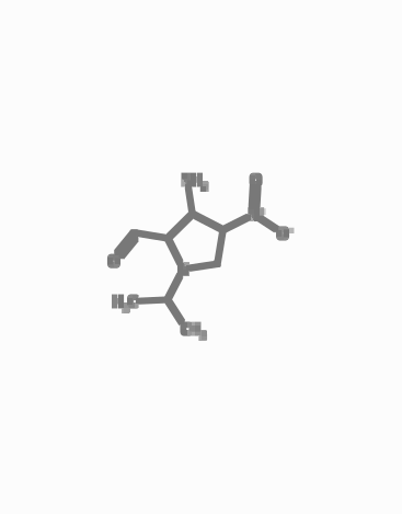 CC(C)N1CC([N+](=O)[O-])C(N)C1C=O